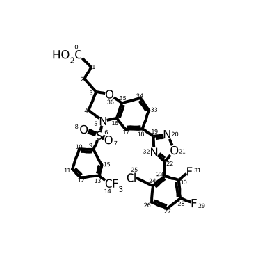 O=C(O)CCC1CN(S(=O)(=O)c2cccc(C(F)(F)F)c2)c2cc(-c3noc(-c4c(Cl)ccc(F)c4F)n3)ccc2O1